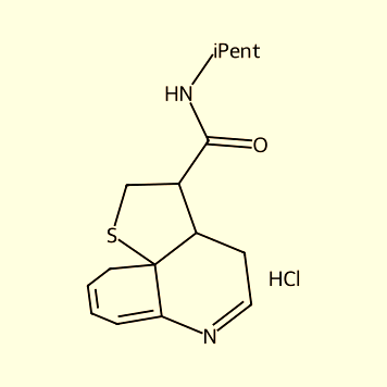 CCCC(C)NC(=O)C1CSC23CC=CC=C2N=CCC13.Cl